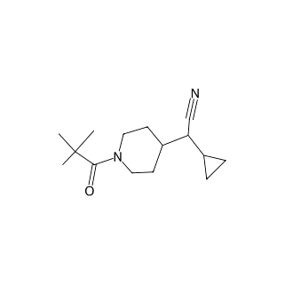 CC(C)(C)C(=O)N1CCC(C(C#N)C2CC2)CC1